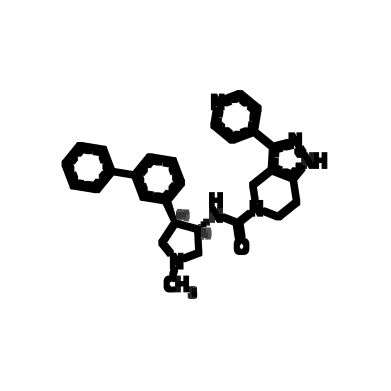 CN1C[C@@H](NC(=O)N2CCc3[nH]nc(-c4ccncc4)c3C2)[C@H](c2cccc(-c3ccccc3)c2)C1